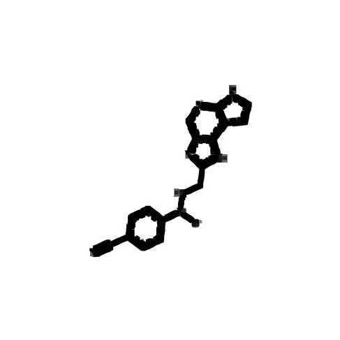 N#Cc1ccc([S+]([O-])NCc2nc3cnc4[nH]ccc4c3[nH]2)cc1